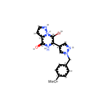 COc1ccc(Cn2cc(-c3[nH]c(=O)c4ccnn4c3Br)cn2)cc1